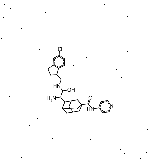 NC(C(O)NCC1CCc2cc(Cl)ccc21)C1C2CC3CC1CC(C(=O)Nc1ccncc1)(C3)C2